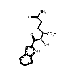 NC(=O)CCC(C(=O)O)N(O)C(=O)c1cc2ccccc2[nH]1